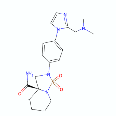 CN(C)Cc1nccn1-c1ccc(N2C[C@@]3(C(N)=O)[CH]CCCN3S2(=O)=O)cc1